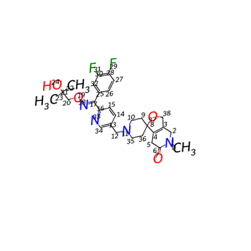 CN1CC2=C(CC1=O)C1(CCN(Cc3ccc(C(=NOCC(C)(C)O)c4ccc(F)c(F)c4)nc3)CC1)OC2